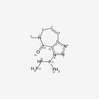 CN1CC=Cc2nnn(P(P)PP)c2C1=O